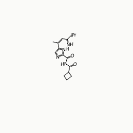 C/C(=C/C(=N)C(C)C)c1cnc(C(=O)NC(=O)C2CCC2)[nH]1